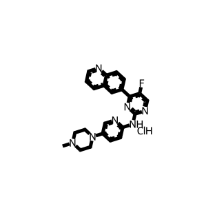 CN1CCN(c2ccc(Nc3ncc(F)c(-c4ccc5ncccc5c4)n3)nc2)CC1.Cl